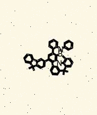 CC1(C)c2ccccc2-c2cc(-c3cc4c5c6c3c3cccc7c3n6-c3c(cccc3C7(C)C)B5N(c3ccccc3)c3ccccc3-4)ccc21